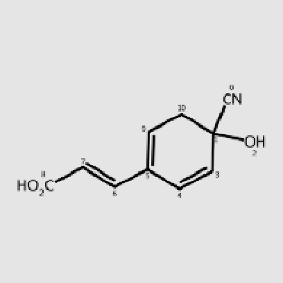 N#CC1(O)C=CC(C=CC(=O)O)=CC1